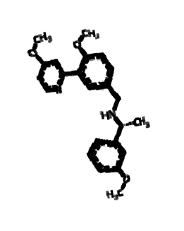 COc1cccc([C@@H](C)NCc2ccc(OC)c(-c3cc(OC)ccn3)c2)c1